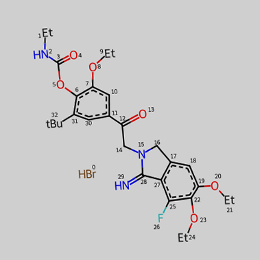 Br.CCNC(=O)Oc1c(OCC)cc(C(=O)CN2Cc3cc(OCC)c(OCC)c(F)c3C2=N)cc1C(C)(C)C